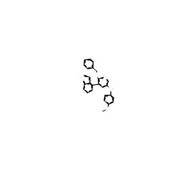 COc1ccc(Nc2cnc(OCc3ccccc3)c(-c3cccc4[nH]ccc34)c2)cc1